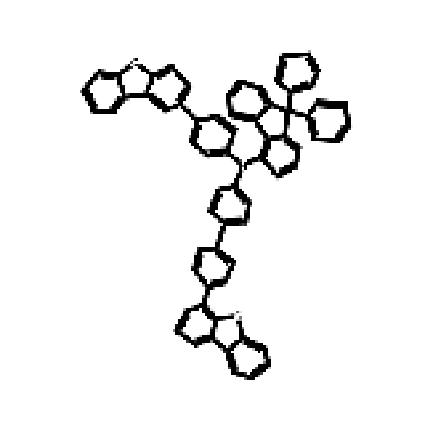 c1ccc(C2(c3ccccc3)c3ccccc3-c3c(N(c4ccc(-c5ccc(-c6cccc7c6sc6ccccc67)cc5)cc4)c4ccc(-c5ccc6oc7ccccc7c6c5)cc4)cccc32)cc1